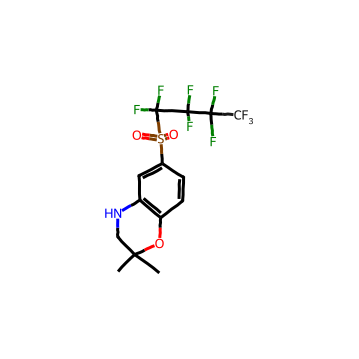 CC1(C)CNc2cc(S(=O)(=O)C(F)(F)C(F)(F)C(F)(F)C(F)(F)F)ccc2O1